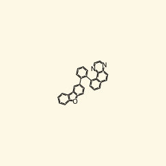 c1ccc(-c2cccc3ccc4nccnc4c23)c(-c2ccc3oc4ccccc4c3c2)c1